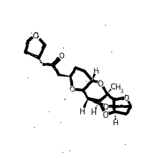 C[C@@]12O[C@H]3CC[C@H](CC(=O)C[C@@H]4CCOC4)OC3[C@@H]3OC4C[C@@H](O[C@@H]31)C2O4